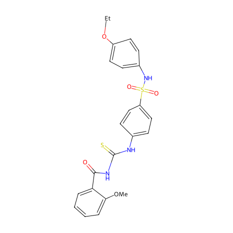 CCOc1ccc(NS(=O)(=O)c2ccc(NC(=S)NC(=O)c3ccccc3OC)cc2)cc1